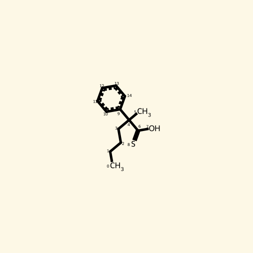 CCCCC(C)(C(O)=S)c1ccccc1